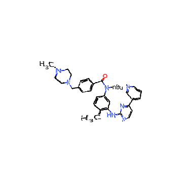 CCCCN(C(=O)c1ccc(CN2CCN(C)CC2)cc1)c1ccc(C)c(Nc2nccc(-c3cccnc3)n2)c1